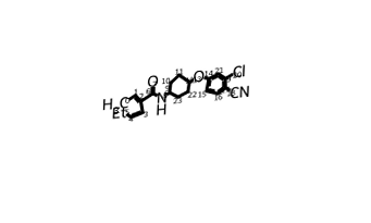 C/C=C(\C=C/CC)C(=O)NC1CCC(Oc2ccc(C#N)c(Cl)c2)CC1